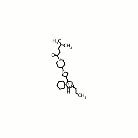 CCCN1CC(C2CN(C3CCN(C(=O)CCC(C)C)CC3)C2)[N+]2(CCCCC2)N1